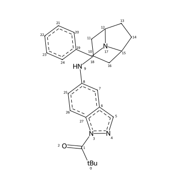 CC(C)(C)C(=O)n1ncc2cc(NC3CC4CCC(C3)N4Cc3ccccc3)ccc21